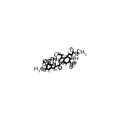 COC(=O)c1cc2c3c(cc([N+](=O)[O-])c2[nH]1)N(C(=O)c1cc2cc(OC)c(OC)c(OC)c2[nH]1)CC3CCl